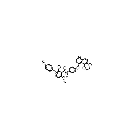 CCOc1ccn(-c2ccc(F)cc2)c(=O)c1C(=O)Nc1ccc(Oc2ccnc3ccc4c(c23)OCCO4)cc1